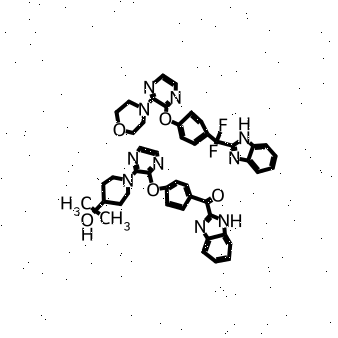 CC(C)(O)C1CCN(c2nccnc2Oc2ccc(C(=O)c3nc4ccccc4[nH]3)cc2)CC1.FC(F)(c1ccc(Oc2nccnc2N2CCOCC2)cc1)c1nc2ccccc2[nH]1